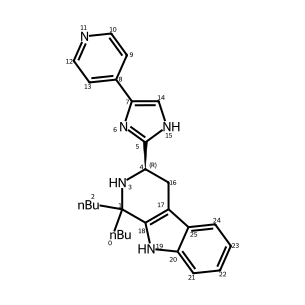 CCCCC1(CCCC)N[C@@H](c2nc(-c3ccncc3)c[nH]2)Cc2c1[nH]c1ccccc21